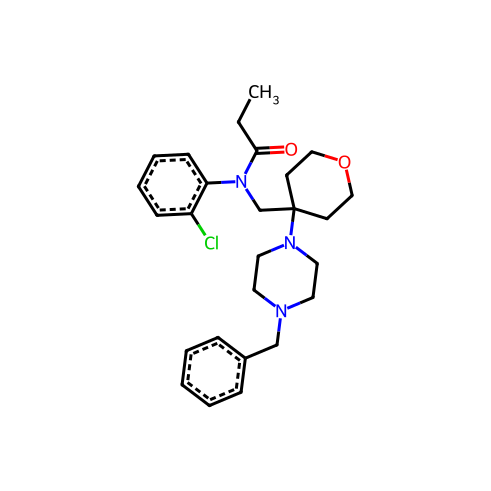 CCC(=O)N(CC1(N2CCN(Cc3ccccc3)CC2)CCOCC1)c1ccccc1Cl